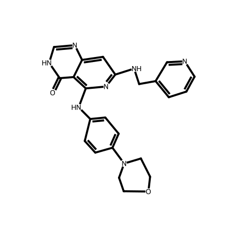 O=c1[nH]cnc2cc(NCc3cccnc3)nc(Nc3ccc(N4CCOCC4)cc3)c12